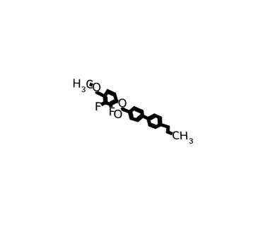 CCCc1ccc(-c2ccc(C(=O)Oc3ccc(COC)c(F)c3F)cc2)cc1